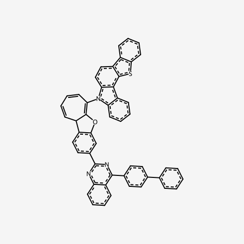 C1=CC(n2c3ccccc3c3c4sc5ccccc5c4ccc32)=C2Oc3cc(-c4nc(-c5ccc(-c6ccccc6)cc5)c5ccccc5n4)ccc3C2C=C1